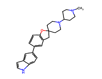 CN1CCC(N2CCC3(CC2)Cc2cc(-c4ccc5[nH]ccc5c4)ccc2O3)CC1